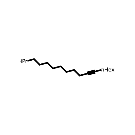 CCCCCCC#CCCCCCCCC[C](C)C